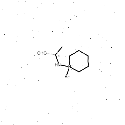 CC(=O)[N+]1(N[C@@H](C)[C]=O)CCCCC1